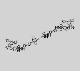 Cc1cc(S(=O)(=O)NCCOCCOCCNC(=O)NCCCCNC(=O)NCCOCCOCCNS(=O)(=O)c2ccc(O[C@H]3c4cc(Cl)cc(Cl)c4C[C@@H]3N(C)C)c(C)c2)ccc1O[C@H]1c2cc(Cl)cc(Cl)c2C[C@@H]1N(C)C